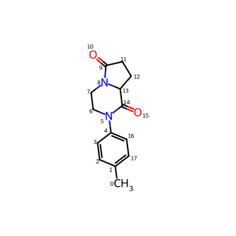 Cc1ccc(N2CCN3C(=O)CCC3C2=O)cc1